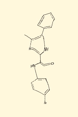 Cc1nc(C(=O)Nc2ccc(Br)cc2)[nH]c1-c1ccccc1